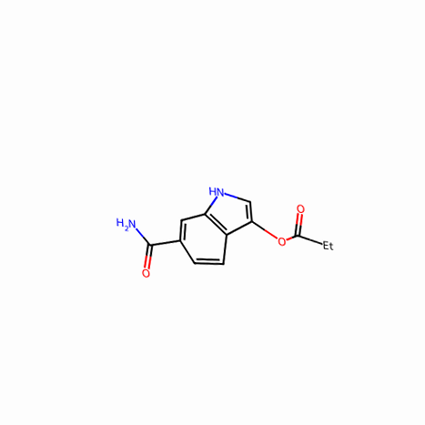 CCC(=O)Oc1c[nH]c2cc(C(N)=O)ccc12